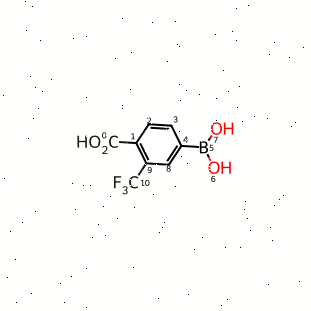 O=C(O)c1ccc(B(O)O)cc1C(F)(F)F